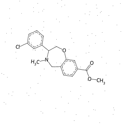 COC(=O)c1ccc2c(c1)OCC(c1cccc(Cl)c1)N(C)C2